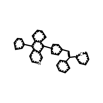 C(=C(c1ccccc1)c1ccccc1)c1ccc(-c2c3ccccc3c(-c3ccccc3)c3ccncc23)cc1